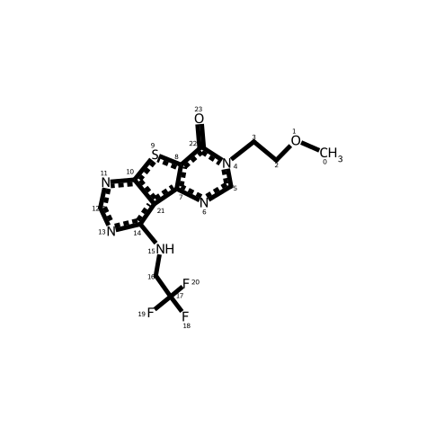 COCCn1cnc2c(sc3ncnc(NCC(F)(F)F)c32)c1=O